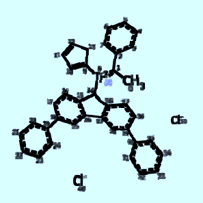 C/[C](c1ccccc1)=[Ti+2](/[C]1=CC=CC1)[CH]1c2ccc(-c3ccccc3)cc2-c2cc(-c3ccccc3)ccc21.[Cl-].[Cl-]